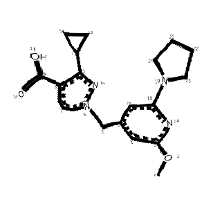 COc1cc(Cn2cc(C(=O)O)c(C3CC3)n2)cc(N2CCCC2)n1